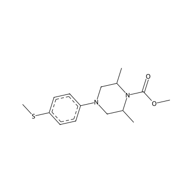 COC(=O)N1C(C)CN(c2ccc(SC)cc2)CC1C